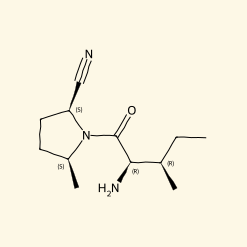 CC[C@@H](C)[C@@H](N)C(=O)N1[C@H](C#N)CC[C@@H]1C